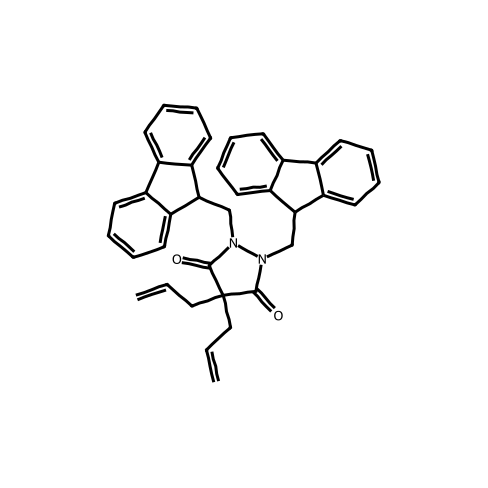 C=CCC1(CC=C)C(=O)N(CC2c3ccccc3-c3ccccc32)N(CC2c3ccccc3-c3ccccc32)C1=O